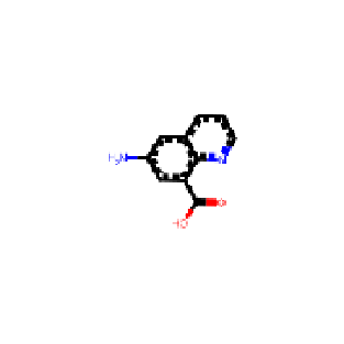 Nc1cc(C(=O)O)c2ncccc2c1